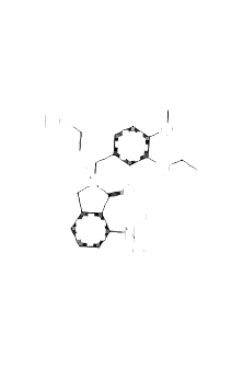 CCOc1cc([C@@H](CCO)N2Cc3cccc([N+](=O)[O-])c3C2=O)ccc1OC